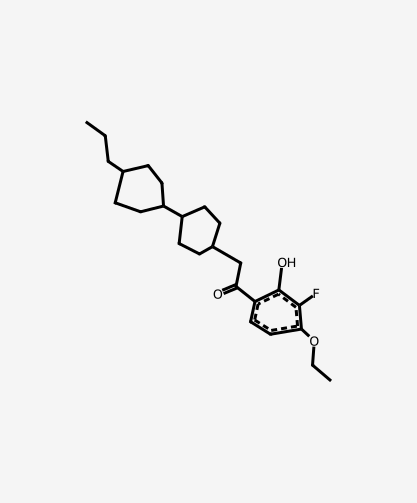 CCCC1CCC(C2CCC(CC(=O)c3ccc(OCC)c(F)c3O)CC2)CC1